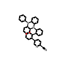 N#Cc1ccc(-c2ccccc2-c2ccccc2N2c3ccccc3N(c3ccccc3)c3ccccc32)cn1